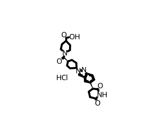 Cl.O=C1CC[C@@H](c2ccc3nn([C@H]4CC[C@H](C(=O)N5CCC(C(=O)O)CC5)CC4)cc3c2)C(=O)N1